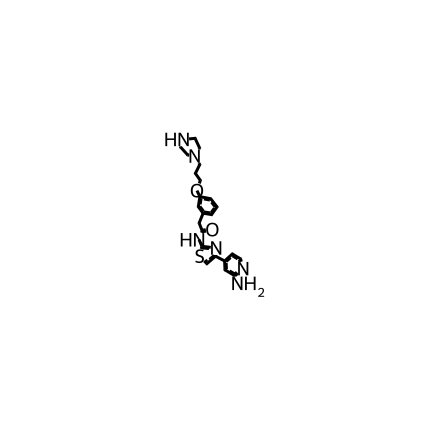 Nc1cc(-c2csc(NC(=O)Cc3cccc(OCCCN4CCNCC4)c3)n2)ccn1